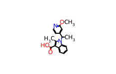 COc1cc(C(C)n2c(C)c(C(=O)O)c3ccccc32)ccn1